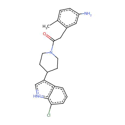 Cc1ccc(N)cc1CC(=O)N1CCC(c2c[nH]c3c(Cl)cccc23)CC1